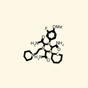 COc1ccc(N2C(C(N)=O)N(CCN3CCCCC3)C(C(N)=O)N(C3CCCCCC3)C2C(N)=O)cc1F